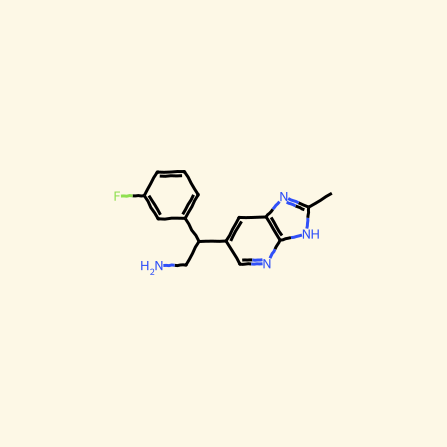 Cc1nc2cc(C(CN)c3cccc(F)c3)cnc2[nH]1